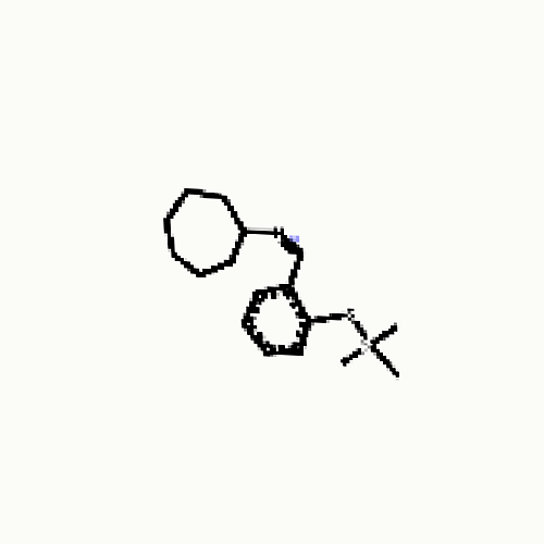 C[Si](C)(C)Sc1ccccc1/C=N\C1CCCCCC1